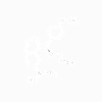 CCO[C@H](c1ccc(OC)cc1)c1cccc2c1CC(N(C)C)CC2.Cl